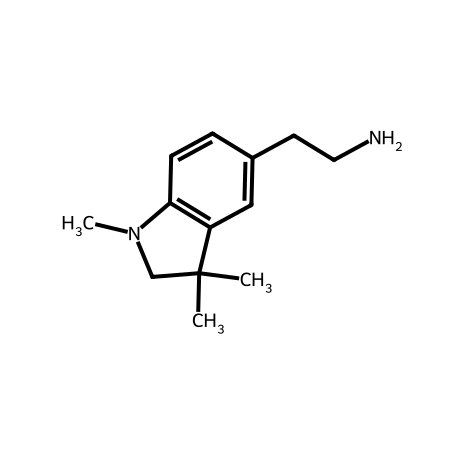 CN1CC(C)(C)c2cc(CCN)ccc21